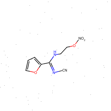 N#CN=C(NCCO[N+](=O)[O-])c1ccco1